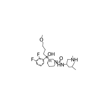 CNCC(CC(C)C)NC(=O)N1CCC[C@@H]([C@@](O)(CCCCOC)c2cccc(F)c2F)C1